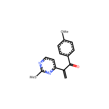 C=C(C(=O)c1ccc(OC)cc1)c1ccnc(SC)n1